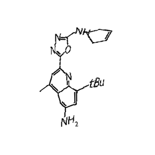 Cc1cc(-c2nnc(NC3CC=CC3)o2)nc2c(C(C)(C)C)cc(N)cc12